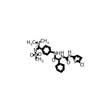 CN(C)/C(=N/S(C)(=O)=O)c1ccc(NC(=O)C(NC(=O)Nc2ccc(Cl)s2)c2ccccc2)cc1